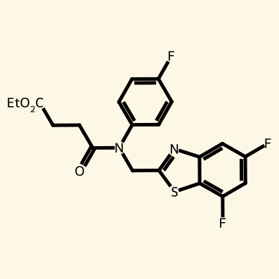 CCOC(=O)CCC(=O)N(Cc1nc2cc(F)cc(F)c2s1)c1ccc(F)cc1